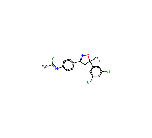 FC(F)(F)C(Cl)=Nc1ccc(C2=NOC(c3cc(Cl)cc(Cl)c3)(C(F)(F)F)C2)cc1